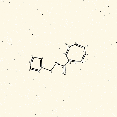 O=C(OCc1ccccc1)C1=CN=CC=CN=C1